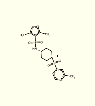 Cc1noc(C)c1S(=O)(=O)N[C@H]1CC[C@](F)(S(=O)(=O)c2cccc(C(F)(F)F)c2)CC1